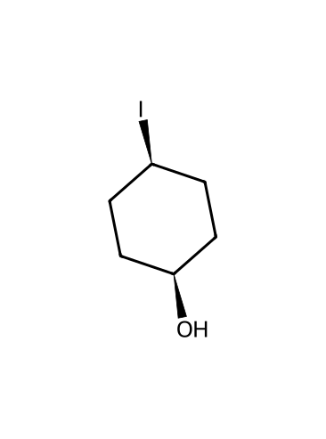 O[C@H]1CC[C@@H](I)CC1